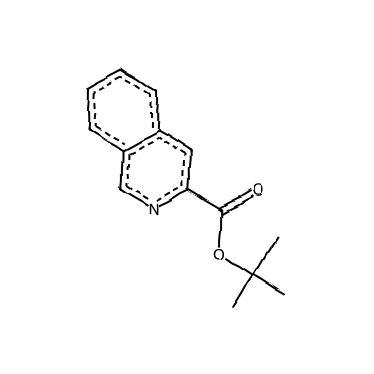 CC(C)(C)OC(=O)c1cc2ccccc2cn1